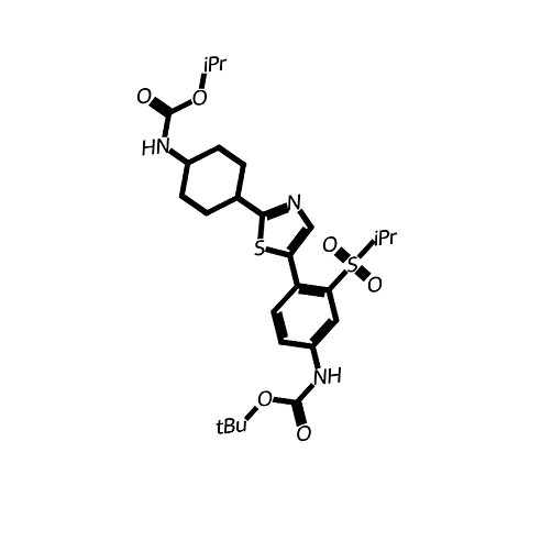 CC(C)OC(=O)NC1CCC(c2ncc(-c3ccc(NC(=O)OC(C)(C)C)cc3S(=O)(=O)C(C)C)s2)CC1